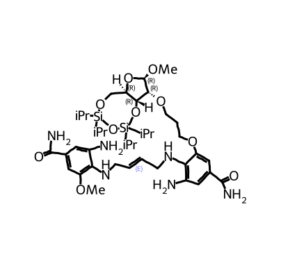 COc1cc(C(N)=O)cc(N)c1NC/C=C/CNc1c(N)cc(C(N)=O)cc1OCCCO[C@H]1[C@H](OC)O[C@@H]2CO[Si](C(C)C)(C(C)C)O[Si](C(C)C)(C(C)C)O[C@@H]12